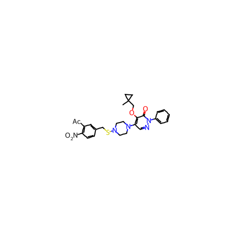 CC(=O)c1cc(CSN2CCN(c3cnn(-c4ccccc4)c(=O)c3OCC3(C)CC3)CC2)ccc1[N+](=O)[O-]